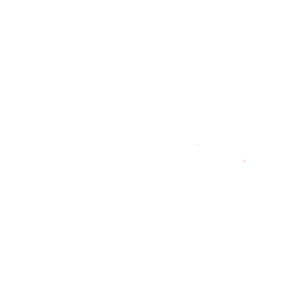 COc1ccccc1C(=O)O.O=C(OO)c1ccccc1